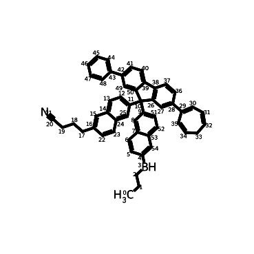 CCCBc1ccc2cc(C3(c4ccc5cc(CCCC#N)ccc5c4)c4cc(C5=CC=CCC=C5)ccc4-c4ccc(-c5ccccc5)cc43)ccc2c1